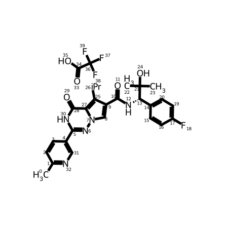 Cc1ccc(-c2nn3cc(C(=O)N[C@@H](c4ccc(F)cc4)C(C)(C)O)c(C(C)C)c3c(=O)[nH]2)cn1.O=C(O)C(F)(F)F